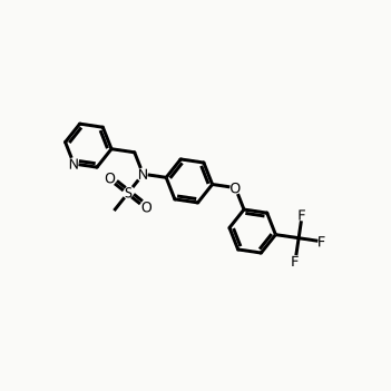 CS(=O)(=O)N(Cc1cccnc1)c1ccc(Oc2cccc(C(F)(F)F)c2)cc1